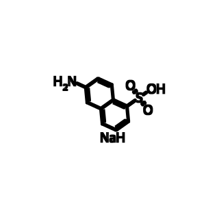 Nc1ccc2c(S(=O)(=O)O)cccc2c1.[NaH]